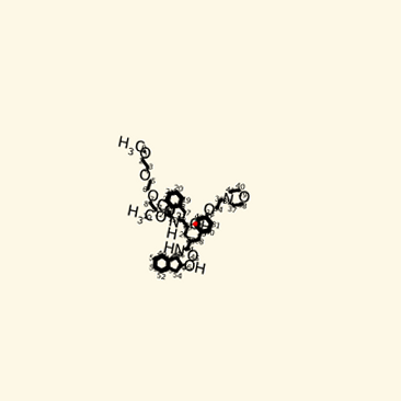 COCCOCCOCC(C)(C)OC(=O)N[C@@H](Cc1ccccc1)[C@@H](O)C[C@@H](Cc1ccc(OCCN2CCOCC2)cc1)C(=O)N[C@H]1c2ccccc2C[C@H]1O